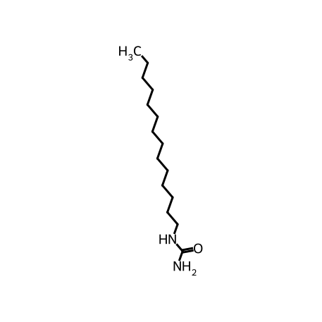 CCCCCCCCCCCCCCNC(N)=O